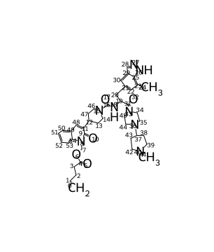 C=CCCC(=O)OCn1c(=O)c(C2CCN(C(=O)NC(Cc3cc(C)c4[nH]ncc4c3)C(=O)N3CCN(C4CCN(C)CC4)CC3)CC2)cc2ccccc21